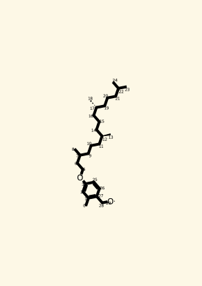 Cc1cc(OCCC(C)CCC[C@H](C)CCC[C@H](C)CCCC(C)C)ccc1C[O]